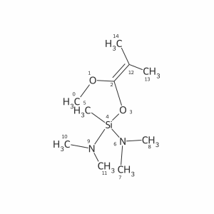 COC(O[Si](C)(N(C)C)N(C)C)=C(C)C